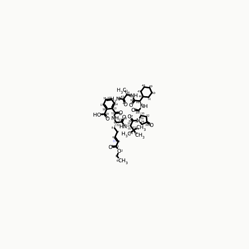 CCOC(=O)/C=C/CC[C@H](NC(=O)c1ccccc1C(=O)O)C(=O)N[C@H](C(=O)N1CC(=O)C[C@H]1C(=O)N[C@H](C(=O)N[C@@H](C)C(N)=O)C1CCCCC1)C(C)(C)C